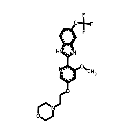 COc1cc(OCCN2CCOCC2)cnc1-c1nc2cc(OC(F)(F)F)ccc2[nH]1